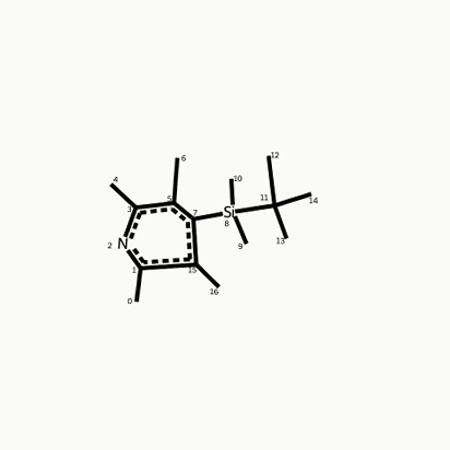 Cc1nc(C)c(C)c([Si](C)(C)C(C)(C)C)c1C